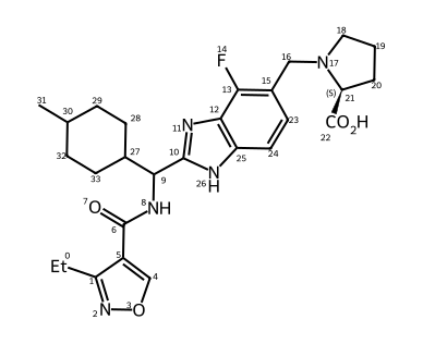 CCc1nocc1C(=O)NC(c1nc2c(F)c(CN3CCC[C@H]3C(=O)O)ccc2[nH]1)C1CCC(C)CC1